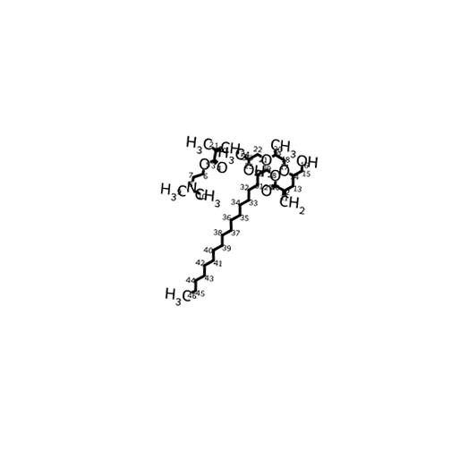 C=C(C)C(=O)OCCN(C)C.C=C(CC(CO)OCC(C)OCC(C)O)C(=O)OCCCCCCCCCCCCCCCCCC